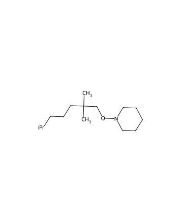 CC(C)CCCC(C)(C)CON1CCCCC1